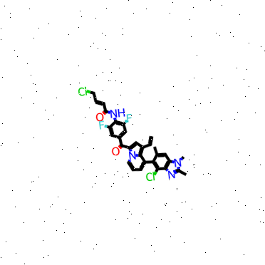 C=Cc1cc(C(=O)c2cc(F)c(NC(=O)/C=C/CCl)c(F)c2)n2cccc(-c3c(C)cc4c(nc(C)n4C)c3Cl)c12